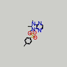 Cc1ccc(S(=O)(=O)O[N+]2(C)c3nccnc3N(C)C2C)cc1